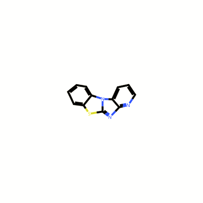 c1ccc2c(c1)sc1nc3ncccc3n12